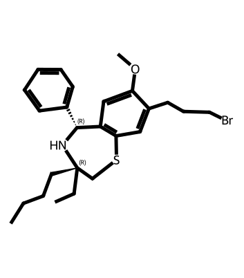 CCCC[C@]1(CC)CSc2cc(CCCBr)c(OC)cc2[C@@H](c2ccccc2)N1